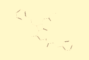 COC(=O)CN1C(=O)C(C(C)=CNC(=O)COc2ccccc2)C1SSc1ccccc1